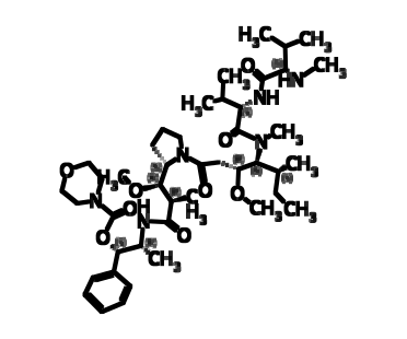 CC[C@H](C)[C@@H]([C@@H](CC(=O)N1CCC[C@H]1[C@H](OC)[C@@H](C)C(=O)N[C@H](C)[C@@H](OC(=O)N1CCOCC1)c1ccccc1)OC)N(C)C(=O)[C@@H](NC(=O)[C@@H](NC)C(C)C)C(C)C